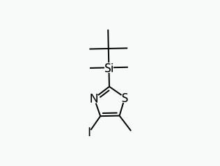 Cc1sc([Si](C)(C)C(C)(C)C)nc1I